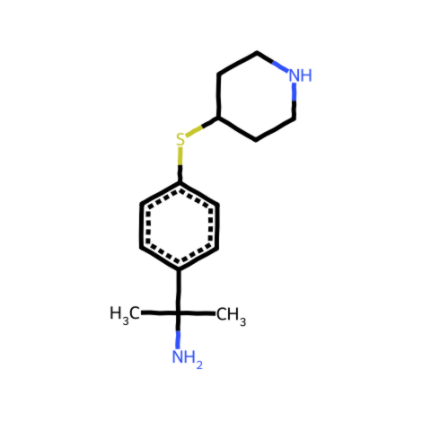 CC(C)(N)c1ccc(SC2CCNCC2)cc1